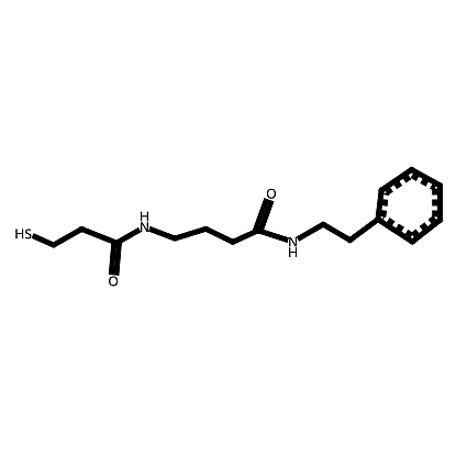 O=C(CCS)NCCCC(=O)NCCc1ccccc1